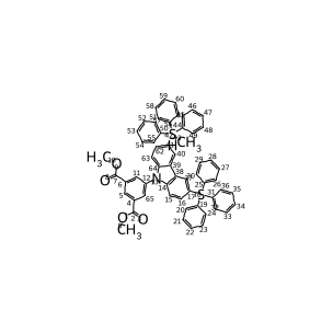 COC(=O)c1cc(C(=O)OC)cc(-n2c3ccc(S(c4ccccc4)(c4ccccc4)c4ccccc4)cc3c3cc([SH](C)(c4ccccc4)(c4ccccc4)c4ccccc4)ccc32)c1